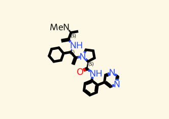 C=C(N[C@H](C(=C)N1CCC[C@H]1C(=O)Nc1ccccc1-c1cncnc1)C1CCCCC1)[C@H](C)NC